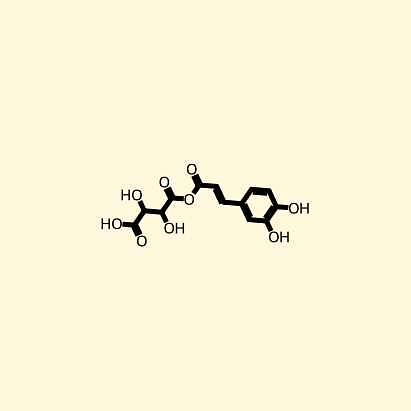 O=C(C=Cc1ccc(O)c(O)c1)OC(=O)C(O)C(O)C(=O)O